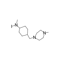 CN1CCN(CC2CCC(N(C)I)CC2)CC1